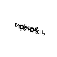 COC(=O)c1ccc(CNc2nc3cc(Br)ccc3s2)cc1